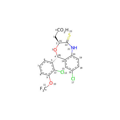 O=C(O)C[C@@H]1O[C@@H](c2cccc(OC(F)(F)F)c2Cl)c2cc(Cl)ccc2NC1=S